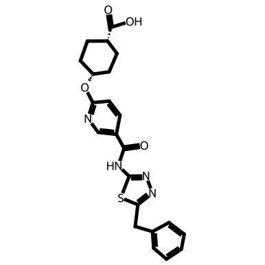 O=C(Nc1nnc(Cc2ccccc2)s1)c1ccc(O[C@H]2CC[C@@H](C(=O)O)CC2)nc1